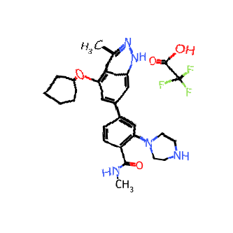 CNC(=O)c1ccc(-c2cc(OC3CCCC3)c3c(C)n[nH]c3c2)cc1N1CCNCC1.O=C(O)C(F)(F)F